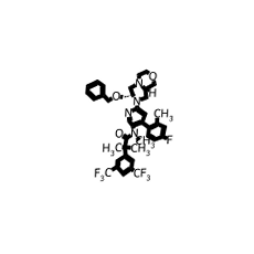 Cc1cc(F)ccc1-c1cc(N2C[C@H]3COCCN3C[C@H]2COCc2ccccc2)ncc1N(C)C(=O)C(C)(C)c1cc(C(F)(F)F)cc(C(F)(F)F)c1